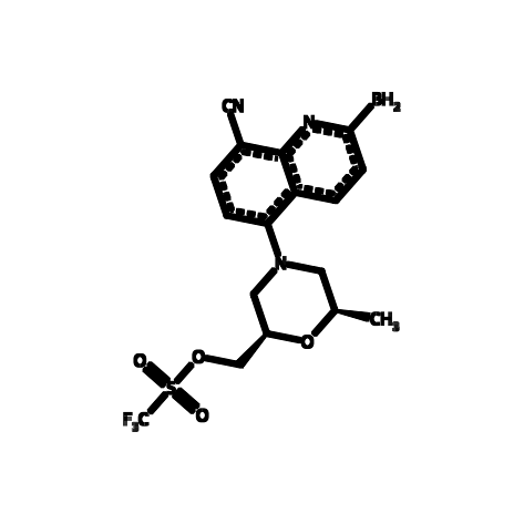 Bc1ccc2c(N3C[C@H](COS(=O)(=O)C(F)(F)F)O[C@H](C)C3)ccc(C#N)c2n1